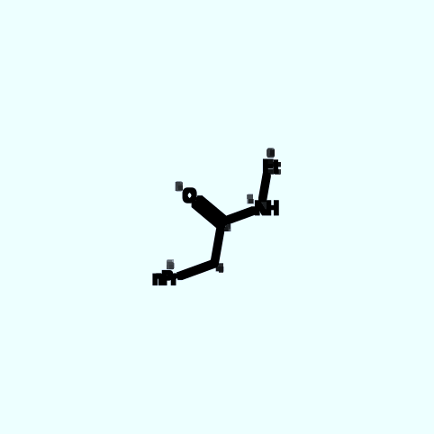 [CH2]CNC(=O)CCCC